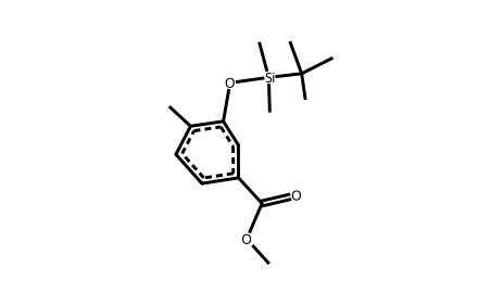 COC(=O)c1ccc(C)c(O[Si](C)(C)C(C)(C)C)c1